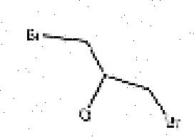 [O]C(CBr)CBr